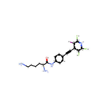 NCCCC[C@H](N)C(=O)Nc1ccc(C#Cc2c(F)c(F)nc(F)c2I)cc1